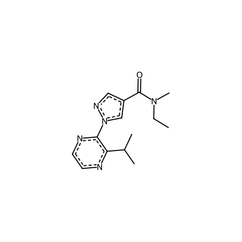 CCN(C)C(=O)c1cnn(-c2nccnc2C(C)C)c1